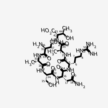 C[C@H](NC(=O)[C@H](CCCNC(=N)N)NC(=O)[C@H](CC(N)=O)NC(=O)[C@H](CO)NC(=O)[C@H](C)NC(=O)[C@@H](N)CC(=O)O)C(=O)N[C@H](C(=O)O)[C@@H](C)O